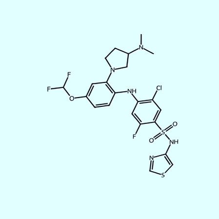 CN(C)C1CCN(c2cc(OC(F)F)ccc2Nc2cc(F)c(S(=O)(=O)Nc3cscn3)cc2Cl)C1